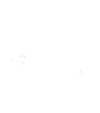 NCCc1ccc(OCCCCc2ccc(-c3ccccc3)c(NC(=O)O)c2)cc1